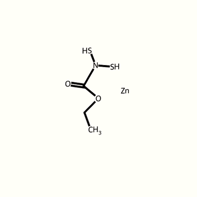 CCOC(=O)N(S)S.[Zn]